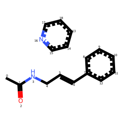 CC(=O)N[CH]/C=C/c1ccccc1.c1ccncc1